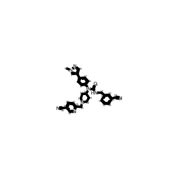 Cn1cc(-c2ccc(N(C(=O)NCc3cccc(C#N)c3)C3CCN(Cc4ccc(C#N)cn4)CC3)cc2)cn1